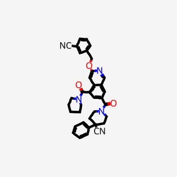 N#Cc1cccc(COc2cc3c(C(=O)N4CCCCC4)cc(C(=O)N4CCC(C#N)(c5ccccc5)CC4)cc3cn2)c1